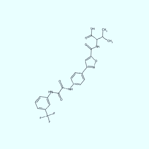 CC(C)C(NC(=O)c1cc(-c2ccc(NC(=O)C(=O)Nc3cccc(C(F)(F)F)c3)cc2)no1)C(=O)O